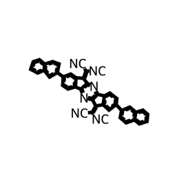 [C-]#[N+]/C(C#N)=C1/c2cc(-c3ccc4ccccc4c3)ccc2-c2nc3c(nc21)-c1ccc(-c2ccc4ccccc4c2)cc1/C3=C(/C#N)[N+]#[C-]